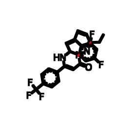 CCC1=N/N2C(=O)C=C(c3ccc(C(F)(F)F)cc3)NC2/C=C(c2ccc(F)cc2F)/C=C\1